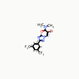 CN(C)C(=O)/C(Br)=C\n1cnc(-c2cc(C(F)(F)F)cc(C(F)(F)F)c2)n1